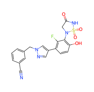 N#Cc1cccc(Cn2cc(-c3ccc(O)c(N4CC(=O)NS4(=O)=O)c3F)cn2)c1